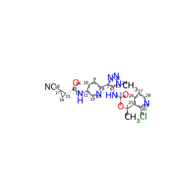 C[C@@H](OC(=O)Nc1c(-c2ccc(NC(=O)[C@@H]3CC3C#N)cn2)nnn1C)c1cccnc1Cl